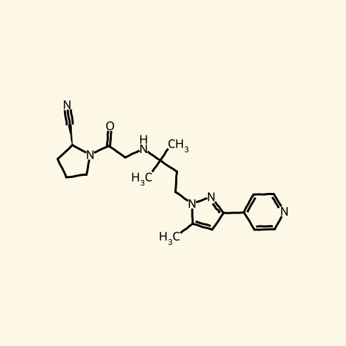 Cc1cc(-c2ccncc2)nn1CCC(C)(C)NCC(=O)N1CCC[C@H]1C#N